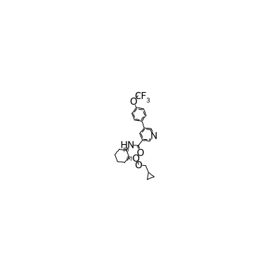 O=C(N[C@@H]1CCCC[C@H]1OOCC1CC1)c1cncc(-c2ccc(OC(F)(F)F)cc2)c1